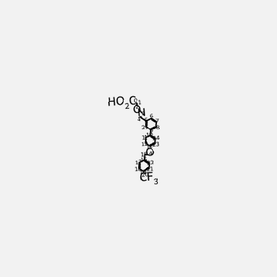 O=C(O)CON=Cc1cccc(-c2ccc(OCc3ccc(C(F)(F)F)cc3)cc2)c1